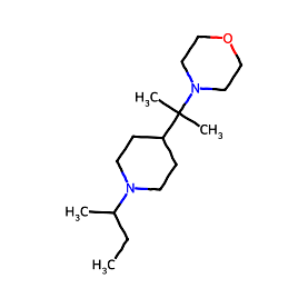 CCC(C)N1CCC(C(C)(C)N2CCOCC2)CC1